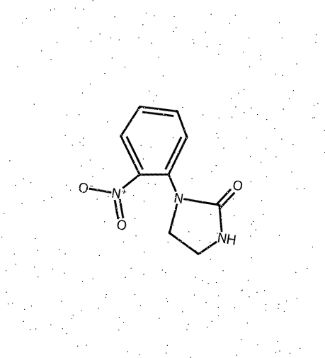 O=C1NCCN1c1ccccc1[N+](=O)[O-]